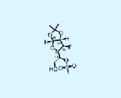 CC1(C)O[C@H]2O[C@H]([C@@H](CO)OS(C)(=O)=O)[C@H](F)[C@H]2O1